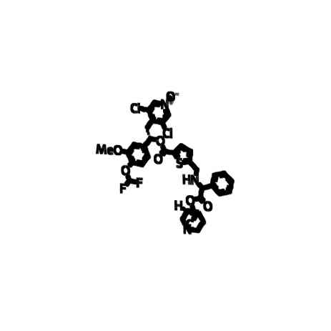 COc1cc([C@H](Cc2c(Cl)c[n+]([O-])cc2Cl)OC(=O)c2ccc(CNC(C(=O)O[C@H]3CN4CCC3CC4)c3ccccc3)s2)ccc1OC(F)F